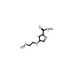 CCOCCOC1C[N]C(C(=O)OC)C1